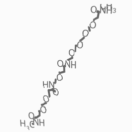 CNC(=O)CCOCCOCCOCCOCCNC(=O)CCOCCNC(=O)CCOCCOCCC(=O)NC